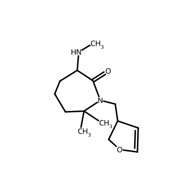 CNC1CCCC(C)(C)N(CC2C=COC2)C1=O